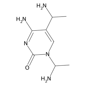 CC(N)c1cn(C(C)N)c(=O)nc1N